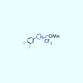 COC[C@@H](N1CC[C@H](c2ccc(F)c(F)c2)C1)C(F)(F)F